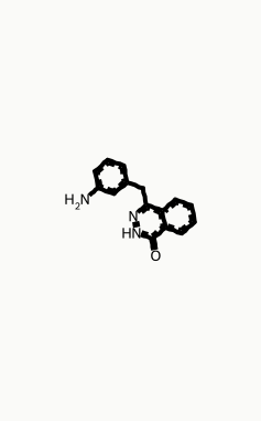 Nc1cccc(Cc2n[nH]c(=O)c3ccccc23)c1